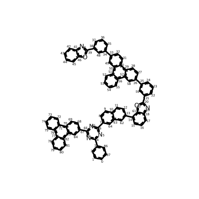 c1ccc(-c2nc(-c3ccc4ccc(-c5cccc6nc(-c7cccc(-c8ccc9c%10ccc(-c%11cccc(-c%12nc%13ccccc%13o%12)c%11)cc%10c%10ccccc%10c9c8)c7)oc56)cc4c3)nc(-c3ccc4c5ccccc5c5ccccc5c4c3)n2)cc1